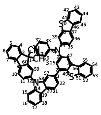 CC1(C)c2ccccc2-c2ccc(-n3c4ccccc4c4ccc(-c5cc(N(c6ccccc6)c6ccc7c(c6)sc6ccccc67)cc6c5sc5ccccc56)cc43)cc21